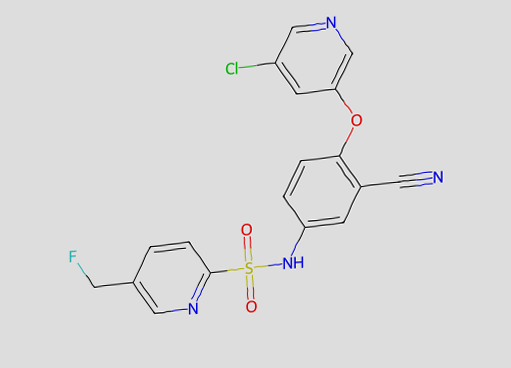 N#Cc1cc(NS(=O)(=O)c2ccc(CF)cn2)ccc1Oc1cncc(Cl)c1